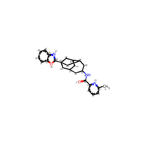 Cc1cccc(C(=O)NC2CC3CC4CC(c5nc6ccccc6o5)(C3)CC4C2)n1